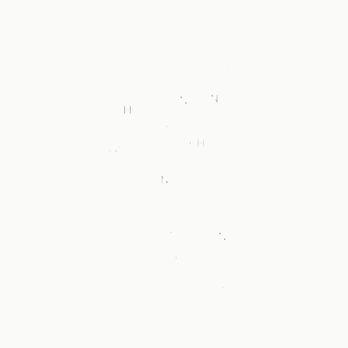 Cc1nc2c(s1)CN(C(=O)C(C)(C)n1c[c]cn1)C2